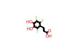 O=C(O)/C=C/c1c(F)c(O)c(O)c(F)c1F